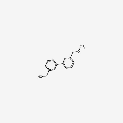 COCc1cccc(-c2cccc(CO)c2)c1